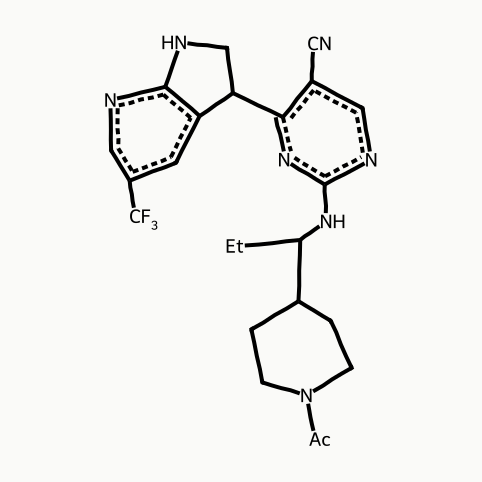 CCC(Nc1ncc(C#N)c(C2CNc3ncc(C(F)(F)F)cc32)n1)C1CCN(C(C)=O)CC1